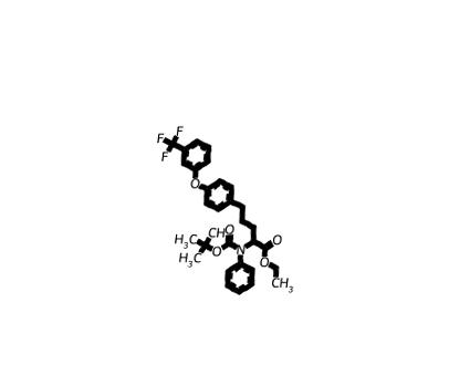 CCOC(=O)C(CCCc1ccc(Oc2cccc(C(F)(F)F)c2)cc1)N(C(=O)OC(C)(C)C)c1ccccc1